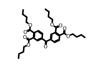 CCCCOC(=O)c1ccc(C(=O)c2ccc(C(=O)OCCCC)c(C(=O)OCCCC)c2)cc1C(=O)OCCCC